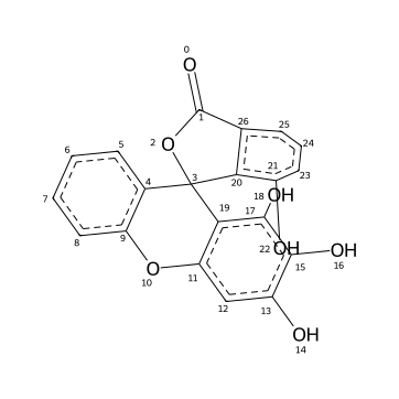 O=C1OC2(c3ccccc3Oc3cc(O)c(O)c(O)c32)c2c(O)cccc21